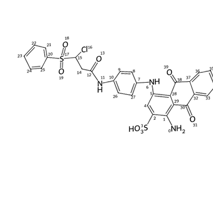 Nc1c(S(=O)(=O)O)cc(Nc2ccc(NC(=O)CC(Cl)S(=O)(=O)c3ccccc3)cc2)c2c1C(=O)c1ccccc1C2=O